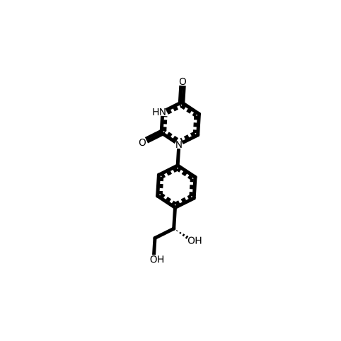 O=c1ccn(-c2ccc([C@H](O)CO)cc2)c(=O)[nH]1